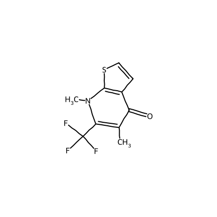 Cc1c(C(F)(F)F)n(C)c2sccc2c1=O